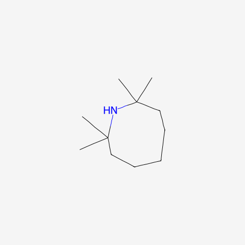 CC1(C)CCCCCC(C)(C)N1